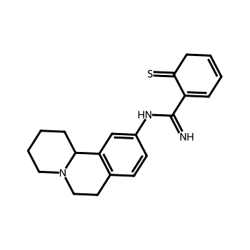 N=C(Nc1ccc2c(c1)C1CCCCN1CC2)C1=CC=CCC1=S